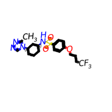 Cc1nncn1[C@@H]1CCC[C@H](NS(=O)(=O)c2ccc(OCCCC(F)(F)F)cc2)C1